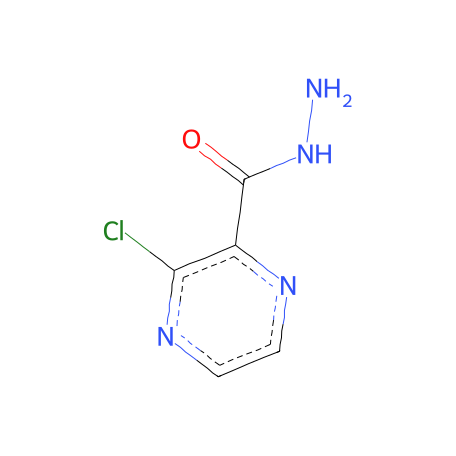 NNC(=O)c1nccnc1Cl